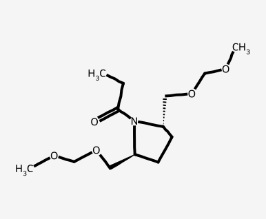 CCC(=O)N1[C@H](COCOC)CC[C@H]1COCOC